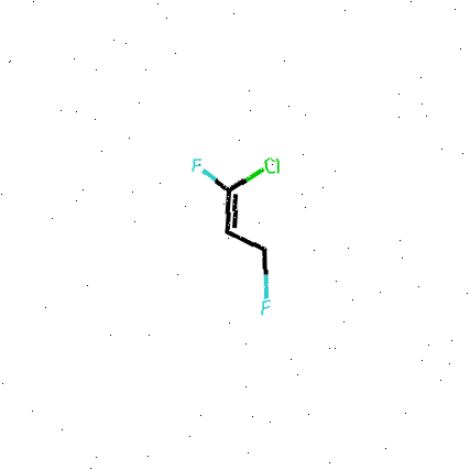 FC/C=C(/F)Cl